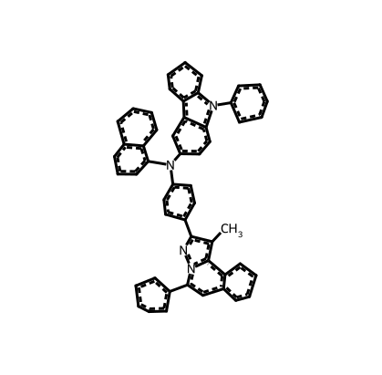 Cc1c(-c2ccc(N(c3ccc4c(c3)c3ccccc3n4-c3ccccc3)c3cccc4ccccc34)cc2)nn2c(-c3ccccc3)cc3ccccc3c12